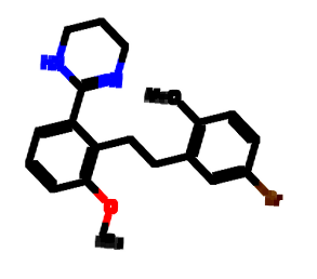 CCCCOc1cccc(C2=NCCCN2)c1CCc1cc(Br)ccc1OC